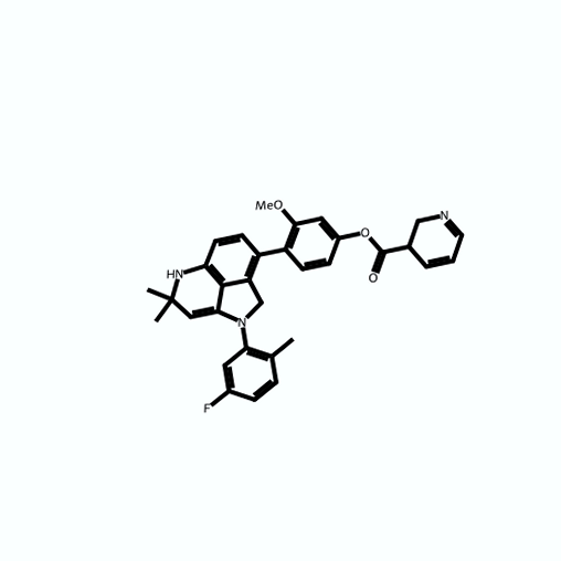 COc1cc(OC(=O)C2C=CC=NC2)ccc1-c1ccc2c3c1CN(c1cc(F)ccc1C)C3=CC(C)(C)N2